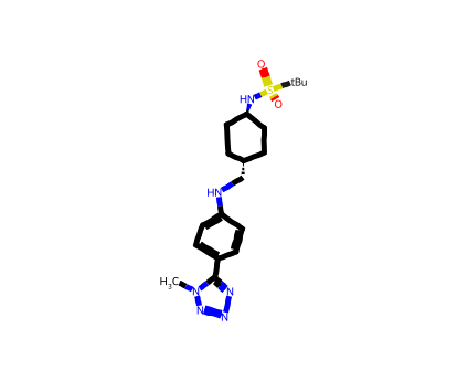 Cn1nnnc1-c1ccc(NC[C@H]2CC[C@H](NS(=O)(=O)C(C)(C)C)CC2)cc1